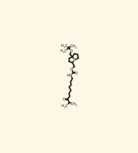 CC(C)C(=O)CCCCCCCNC(=O)OCC1CCC2(COC(C)(C)C)CCCN12